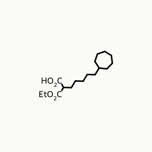 CCOC(=O)C(CCCCCC1CCCCCC1)C(=O)O